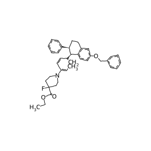 C=C(/C=C\C(=C/C)N1CCC(F)(C(=O)OCC)CC1)[C@@H]1c2ccc(OCc3ccccc3)cc2CC[C@@H]1c1ccccc1